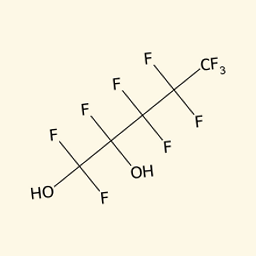 OC(F)(F)C(O)(F)C(F)(F)C(F)(F)C(F)(F)F